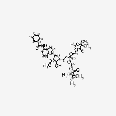 CO[C@@H]1[C@H](O)[C@@H](CCP(=O)(OCOC(=O)C(C)(C)C)OCOC(=O)C(C)(C)C)O[C@H]1n1cnc2c(NC(=O)c3ccccc3)ncnc21